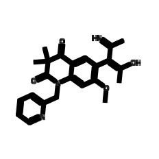 COc1cc2c(cc1/C(C(C)=N)=C(\C)O)C(=O)C(C)(C)C(=O)N2Cc1ccccn1